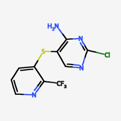 Nc1nc(Cl)ncc1Sc1cccnc1C(F)(F)F